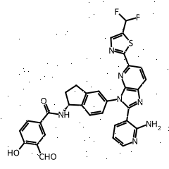 Nc1ncccc1-c1nc2ccc(-c3ncc(C(F)F)s3)nc2n1-c1ccc2c(c1)CC[C@@H]2NC(=O)c1ccc(O)c(C=O)c1